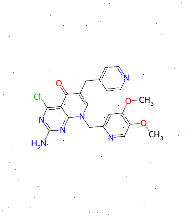 COc1cnc(Cn2cc(Cc3ccncc3)c(=O)c3c(Cl)nc(N)nc32)cc1OC